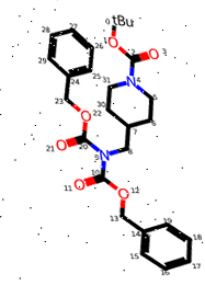 CC(C)(C)OC(=O)N1CCC(CN(C(=O)OCc2ccccc2)C(=O)OCc2ccccc2)CC1